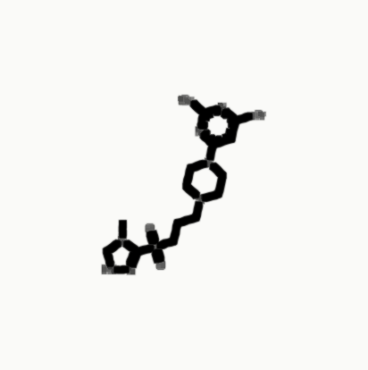 CCCc1cc(N2CCN(CCCS(=O)(=O)C3=NNCN3C)CC2)nc(C(C)(C)C)n1